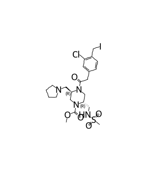 COC(=O)N1C[C@@H](CN2CCCC2)N(C(=O)Cc2ccc(CI)c(Cl)c2)C[C@@H]1CNS(C)(=O)=O